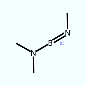 C/N=B/N(C)C